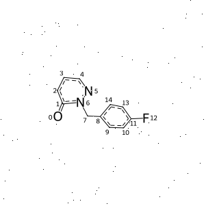 O=c1cccnn1Cc1ccc(F)cc1